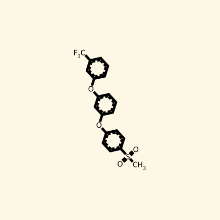 CS(=O)(=O)c1ccc(Oc2cccc(Oc3cccc(C(F)(F)F)c3)c2)cc1